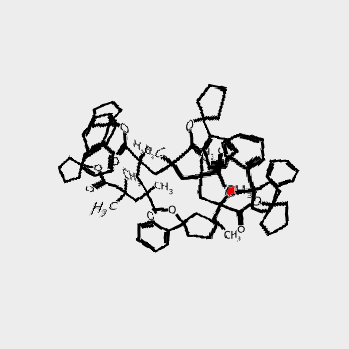 CCC(C)(CC(C)(CC(C)(CC(C)(CC(C)(CC(C)(C)C(=O)OC1(c2ccccc2)CCCC1)C(=O)OC1(c2ccccc2)CCCC1)C(=O)OC1(c2ccccc2)CCCC1)C(=O)OC1(c2ccccc2)CCCC1)C(=O)OC1(c2ccccc2)CCCC1)C(=O)OC1(c2ccccc2)CCCC1